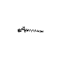 CCCCCCCCCCSCCCCCCCCCCC(=O)NCCN1CCOCC1